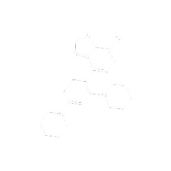 O=[N+]([O-])c1ccc(-c2ccc(N3CCCCC3)cc2N2CCCCC2)c2nonc12